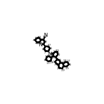 N#Cc1cc(-c2ccc(-n3c4ccccc4c4c(-c5ccc6ccc7ccccc7c6c5)cccc43)cc2)nc2ccccc12